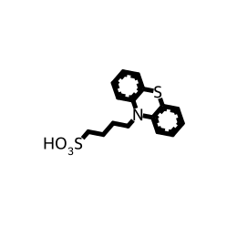 O=S(=O)(O)CCCCN1c2ccccc2Sc2ccccc21